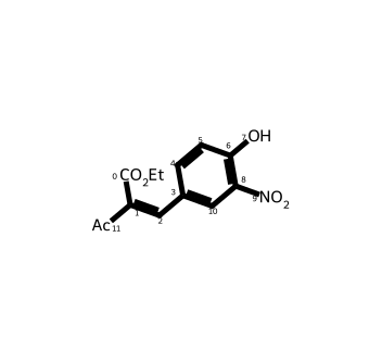 CCOC(=O)/C(=C\c1ccc(O)c([N+](=O)[O-])c1)C(C)=O